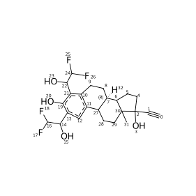 C#CC1(O)CCC2[C@@H]3CCc4c(cc(C(O)C(F)F)c(O)c4C(O)C(F)F)C3CCC21C